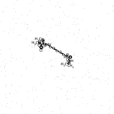 Cc1nc(NC(=O)c2ccccc2NC(=O)CCOCCOCCOCCOCCOCCNC(=O)C[C@@H]2N=C(c3ccc(Cl)cc3)c3c(sc(C)c3C)-n3c(C)nnc32)sc1C